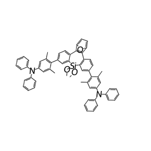 CO[Si]1(OC)c2cc(-c3c(C)cc(N(c4ccccc4)c4ccccc4)cc3C)ccc2-c2c(c3ccc2o3)-c2ccc(-c3c(C)cc(N(c4ccccc4)c4ccccc4)cc3C)cc21